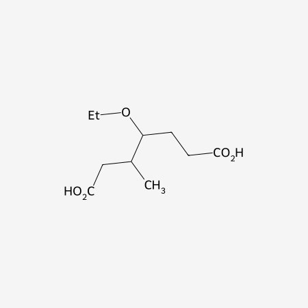 CCOC(CCC(=O)O)C(C)CC(=O)O